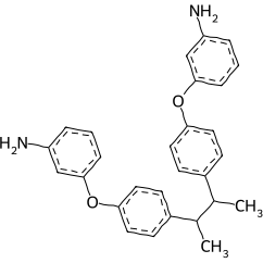 CC(c1ccc(Oc2cccc(N)c2)cc1)C(C)c1ccc(Oc2cccc(N)c2)cc1